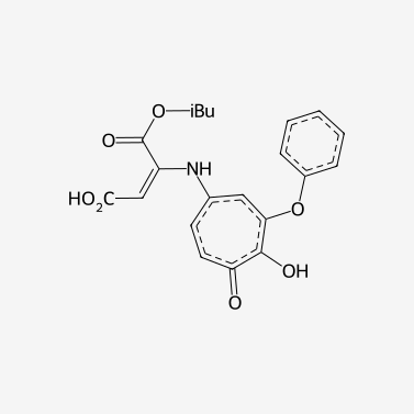 CCC(C)OC(=O)C(=CC(=O)O)Nc1ccc(=O)c(O)c(Oc2ccccc2)c1